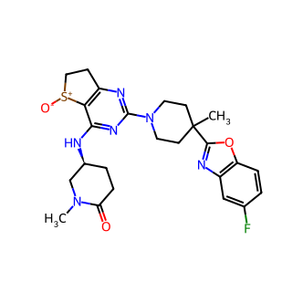 CN1C[C@@H](Nc2nc(N3CCC(C)(c4nc5cc(F)ccc5o4)CC3)nc3c2[S+]([O-])CC3)CCC1=O